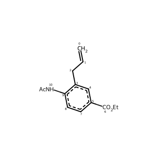 C=CCc1cc(C(=O)OCC)ccc1NC(C)=O